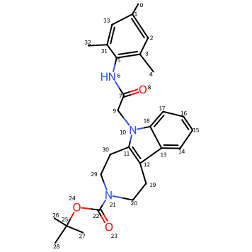 Cc1cc(C)c(NC(=O)Cn2c3c(c4ccccc42)CCN(C(=O)OC(C)(C)C)CC3)c(C)c1